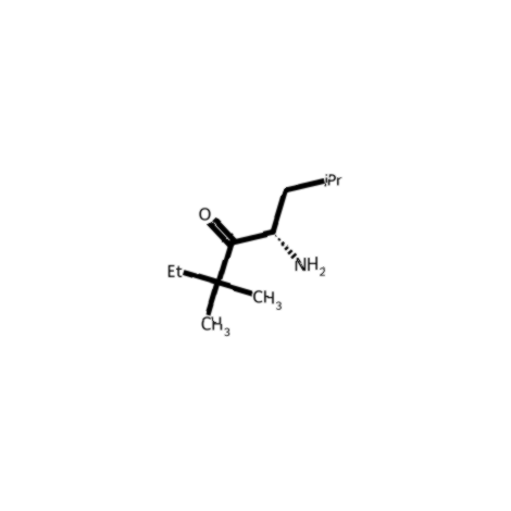 CCC(C)(C)C(=O)[C@@H](N)CC(C)C